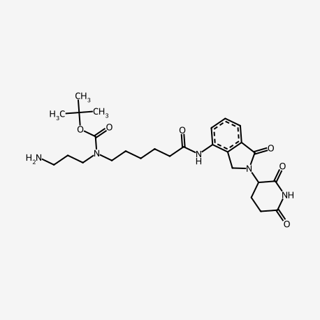 CC(C)(C)OC(=O)N(CCCN)CCCCCC(=O)Nc1cccc2c1CN(C1CCC(=O)NC1=O)C2=O